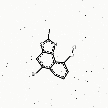 Cc1nc2c(cc(Br)c3ccc[c]([Lr][Cl])c32)s1